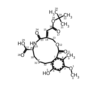 COc1cc(O)c2c(c1C)C(=O)OCC(=CC(=O)OC(C)(C)C)C(=O)N[C@H](C(=O)O)CSC2